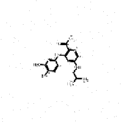 Cc1nc(Nc2cc(NCC(C)N)cnc2C(N)=O)ccc1Br